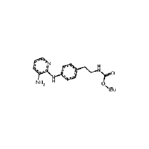 CC(C)(C)OC(=O)NCCc1ccc(Nc2ncccc2N)cc1